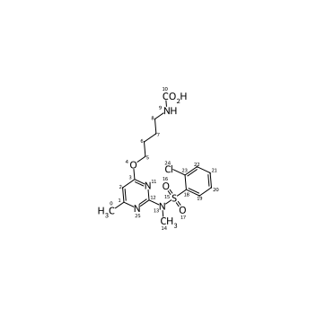 Cc1cc(OCCCCNC(=O)O)nc(N(C)S(=O)(=O)c2ccccc2Cl)n1